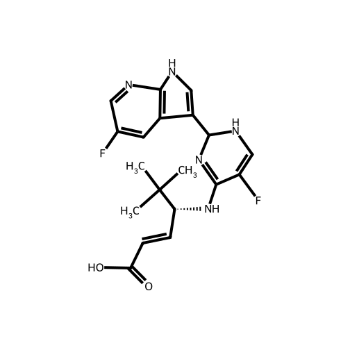 CC(C)(C)[C@@H](/C=C/C(=O)O)NC1=NC(c2c[nH]c3ncc(F)cc23)NC=C1F